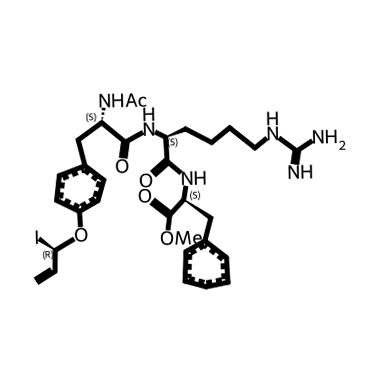 C=C[C@@H](I)Oc1ccc(C[C@H](NC(C)=O)C(=O)N[C@@H](CCCCNC(=N)N)C(=O)N[C@@H](Cc2ccccc2)C(=O)OC)cc1